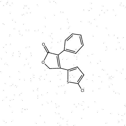 O=C1OCC(c2ccc(Cl)s2)=C1c1ccccc1